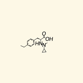 CCc1ccc(C[C@H](NN(C)C2CC2)C(=O)O)cc1